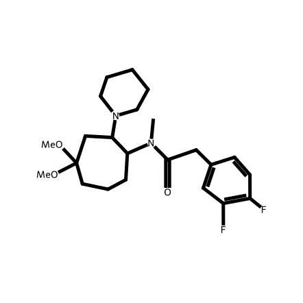 COC1(OC)CCCC(N(C)C(=O)Cc2ccc(F)c(F)c2)C(N2CCCCC2)C1